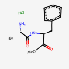 CC[C@H](C)[C@H](N)C(=O)N[C@@H](Cc1ccccc1)C(=O)OC.Cl